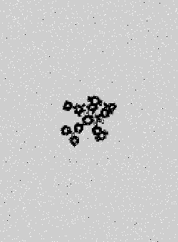 Cc1cc(-c2ccccc2)cc(C)c1N1c2cc3c(cc2B2C4=C(SC5C=C6C(=CC45)C(C)C4CCC6(C)C4)N(c4ccc5c(c4)C(C)(C)CCC5(C)C)c4cc(C5=CC=C(N(c6ccccc6)c6ccccc6)CC5)cc1c42)C(C)(C)CCC3(C)C